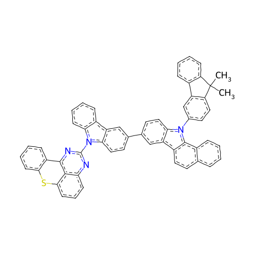 CC1(C)c2ccccc2-c2cc(-n3c4ccc(-c5ccc6c(c5)c5ccccc5n6-c5nc6c7c(cccc7n5)Sc5ccccc5-6)cc4c4ccc5ccccc5c43)ccc21